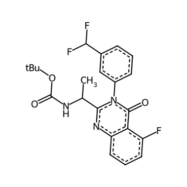 CC(NC(=O)OC(C)(C)C)c1nc2cccc(F)c2c(=O)n1-c1cccc(C(F)F)c1